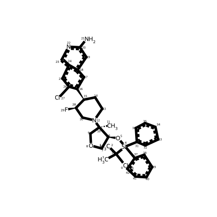 CC(C)(C)[Si](O[C@H]1COC[C@@]1(C)N1CC[C@H](c2cc3cc(N)ncc3cc2Cl)[C@H](F)C1)(c1ccccc1)c1ccccc1